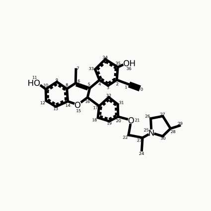 C#Cc1cc(C2=C(C)c3cc(O)ccc3OC2c2ccc(OCC(C)N3CCC(C)C3)cc2)ccc1O